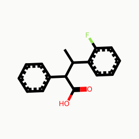 CC(c1ccccc1F)C(C(=O)O)c1ccccc1